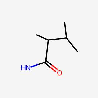 CC(C)C(C)C([NH])=O